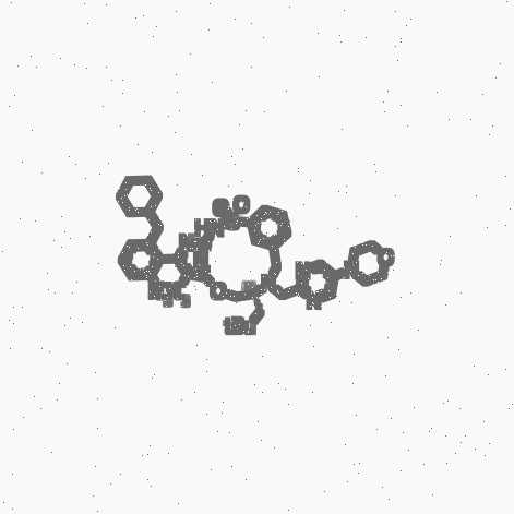 Cc1cccc(CC2CCCCC2)c1-c1nc2nc(c1C)OC[C@@H](CC(C)(C)C)N(Cc1ncc(N3CCOCC3)cn1)Cc1cccc(c1)S(=O)(=O)N2